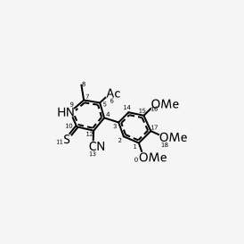 COc1cc(-c2c(C(C)=O)c(C)[nH]c(=S)c2C#N)cc(OC)c1OC